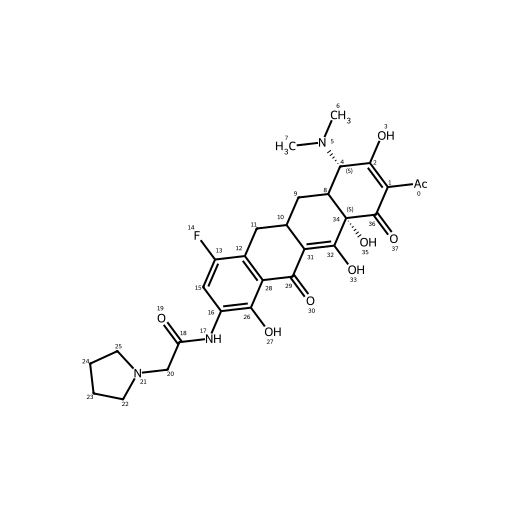 CC(=O)C1=C(O)[C@@H](N(C)C)C2CC3Cc4c(F)cc(NC(=O)CN5CCCC5)c(O)c4C(=O)C3=C(O)[C@]2(O)C1=O